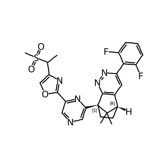 CC(c1coc(-c2cncc([C@@]34CC[C@@H](c5cc(-c6c(F)cccc6F)nnc53)C4(C)C)n2)n1)S(C)(=O)=O